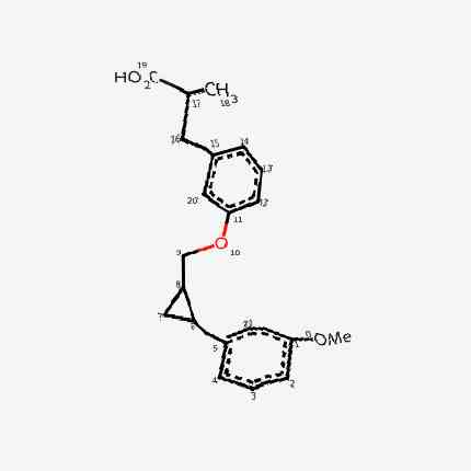 COc1cccc(C2CC2COc2cccc(CC(C)C(=O)O)c2)c1